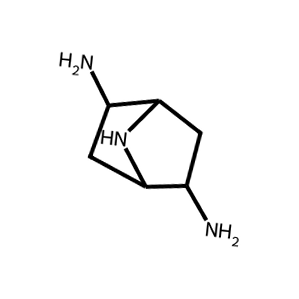 NC1CC2NC1CC2N